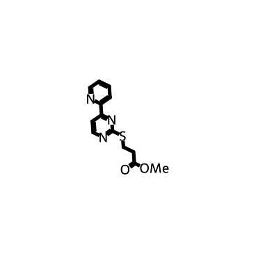 COC(=O)CCSc1nccc(-c2ccccn2)n1